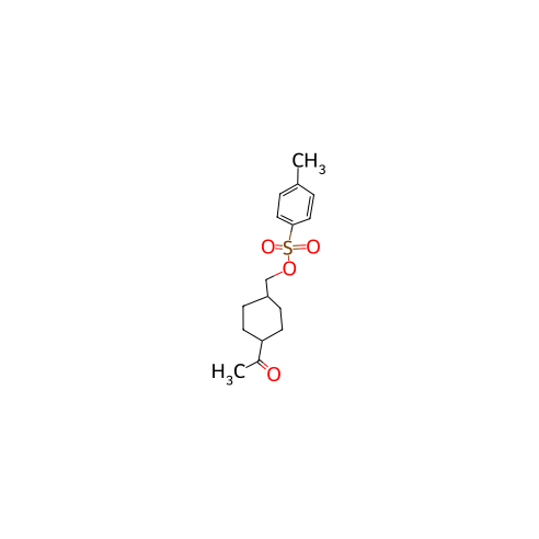 CC(=O)C1CCC(COS(=O)(=O)c2ccc(C)cc2)CC1